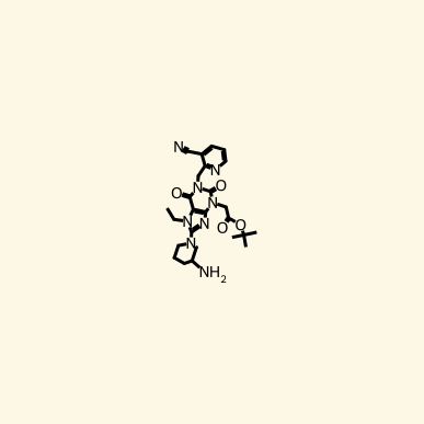 CCn1c(N2CCCC(N)C2)nc2c1c(=O)n(Cc1ncccc1C#N)c(=O)n2CC(=O)OC(C)(C)C